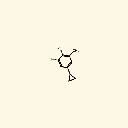 Cc1cc(C2CC2)cc(Cl)c1C(C)C